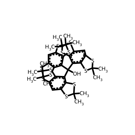 CC1(C)Sc2cc3c(c(C(O)(c4c5c(cc6c4SC(C)(C)S6)SC(C)(C)S5)c4c5c(cc6c4SC(C)(C)S6)SC(C)(C)S5)c2S1)SC(C)(C)S3